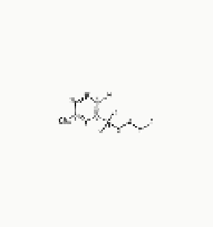 CCCCC(C)(C)c1cc(Cl)ccc1C